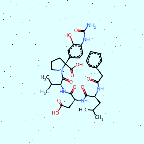 CC(C)C[C@H](NC(=O)Cc1ccccc1)C(=O)N[C@@H](CC(=O)O)C(=O)N[C@H](C(=O)N1CCC[C@@]1(C(=O)O)c1ccc(NC(N)=O)c(O)c1)C(C)C